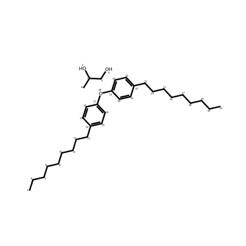 CC(O)CO.CCCCCCCCCc1ccc(Oc2ccc(CCCCCCCCC)cc2)cc1